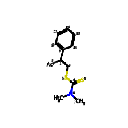 CC(=O)C(CSC(=S)N(C)C)c1ccccc1